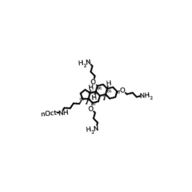 CCCCCCCCNCCCC[C@H]1CC[C@H]2[C@H]3C(C[C@H](OCCCN)[C@]12C)[C@@]1(C)CC[C@@H](OCCCN)C[C@H]1C[C@H]3OCCCN